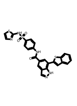 O=C(Nc1ccc(S(=O)(=O)Nc2nccs2)cc1)c1cc(-c2cc3ccccc3s2)c2[nH]ncc2c1